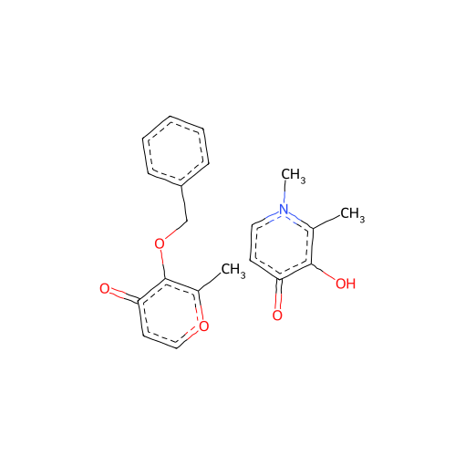 Cc1c(O)c(=O)ccn1C.Cc1occc(=O)c1OCc1ccccc1